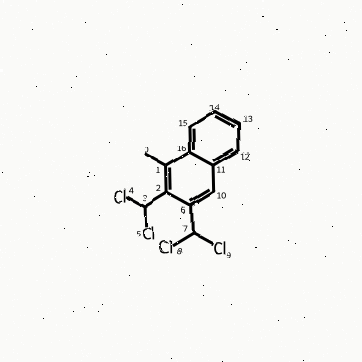 Cc1c(C(Cl)Cl)c(C(Cl)Cl)cc2ccccc12